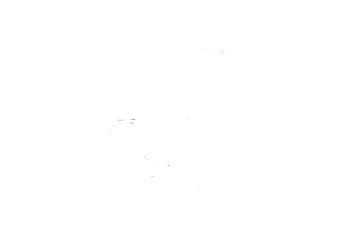 CCCn1c(CCCc2ccc(OC(C)(C)C(=O)O)cc2)cn(Cc2ccccc2)c1=O